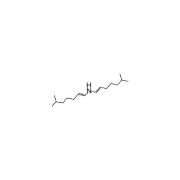 CC(C)CCCC=CNC=CCCCC(C)C